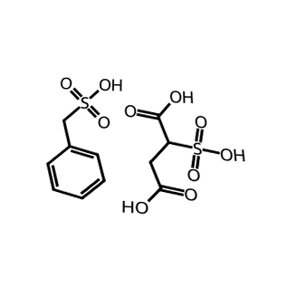 O=C(O)CC(C(=O)O)S(=O)(=O)O.O=S(=O)(O)Cc1ccccc1